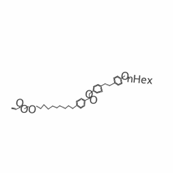 C=CC(=O)OCOCCCCCCCCCCc1ccc(C(=O)Oc2ccc(CCc3ccc(OCCCCCC)cc3)cc2)cc1